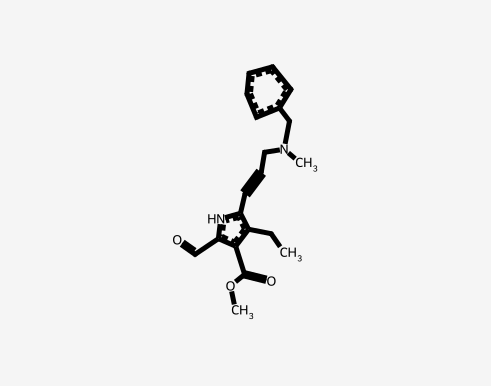 CCc1c(C#CCN(C)Cc2ccccc2)[nH]c(C=O)c1C(=O)OC